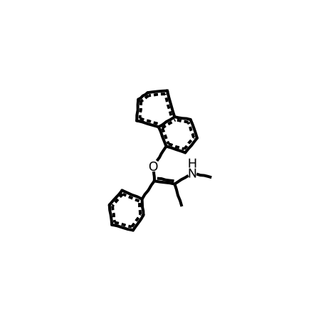 CNC(C)=C(Oc1cccc2ccccc12)c1ccccc1